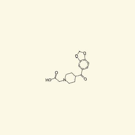 O=C(O)CN1CCC(C(=O)c2ccc3c(c2)OCO3)CC1